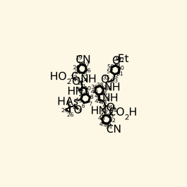 CC1(C(=O)[AsH]c2cccc3cc(C(=O)Nc4ccc(C#N)cc4C(=O)O)[nH]c23)CC1.CCOc1ccc(CC(=O)Nc2cccc3cc(C(=O)Nc4ccc(C#N)cc4C(=O)O)[nH]c23)cc1